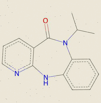 CC(C)N1C(=O)c2cccnc2Nc2ccccc21